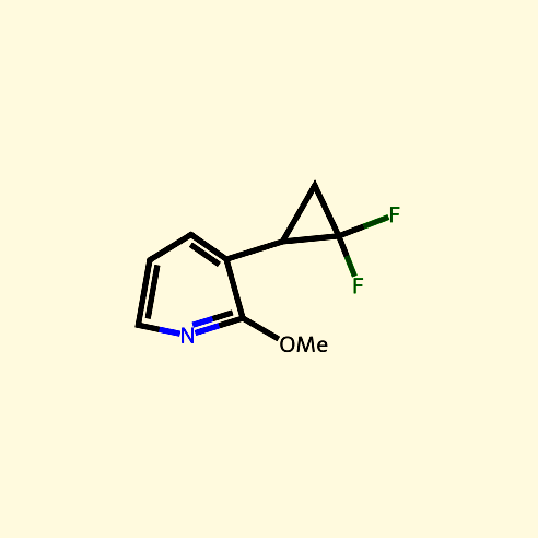 COc1ncccc1C1CC1(F)F